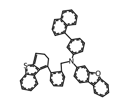 C1=c2sc3ccccc3c2=C(c2ccccc2CN(c2cccc(-c3cccc4ccccc34)c2)c2ccc3c(c2)oc2ccccc23)CC1